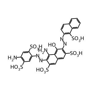 Nc1cc(S(=O)(=O)O)c(N=Nc2c(S(=O)(=O)O)cc3cc(S(=O)(=O)O)c(N=Nc4ccc5ccccc5c4S(=O)(=O)O)c(O)c3c2N)cc1S(=O)(=O)O